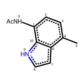 CC(=O)Nc1ccc(C)c2cc[nH]c12